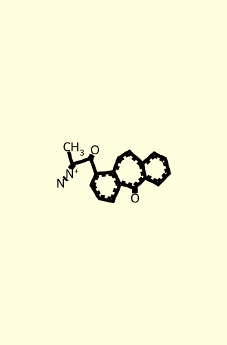 CC(=[N+]=[N-])C(=O)c1cccc2c(=O)c3ccccc3ccc12